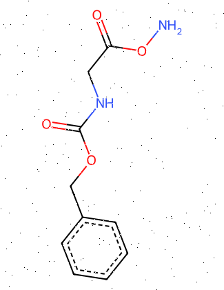 NOC(=O)CNC(=O)OCc1ccccc1